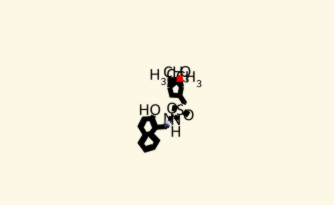 C[C@H]1C(=O)C2C(CS(=O)(=O)N/N=C/c3c(O)ccc4ccccc34)CC1C2(C)C